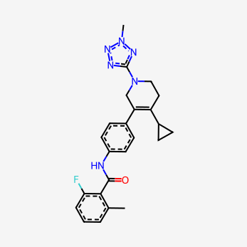 Cc1cccc(F)c1C(=O)Nc1ccc(C2=C(C3CC3)CCN(c3nnn(C)n3)C2)cc1